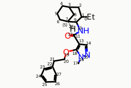 CCC1CC2CCC[C@@H](C2)C1NC(=O)c1cnn(C)c1OCCc1ccccc1